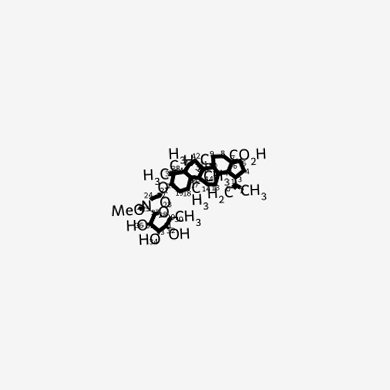 C=C(C)[C@@H]1CC[C@]2(C(=O)O)CC[C@]3(C)C(CCC4[C@@]5(C)CC[C@H](OC(=O)CN(OC)[C@@H]6O[C@H](C)[C@@H](O)[C@H](O)[C@H]6O)C(C)(C)C5CC[C@]43C)C12